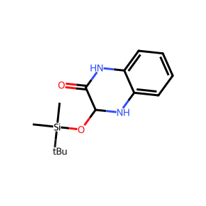 CC(C)(C)[Si](C)(C)OC1Nc2ccccc2NC1=O